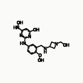 OCN1CC(NCc2cc(Nc3nc(O)cc(NO)n3)ccc2OO)C1